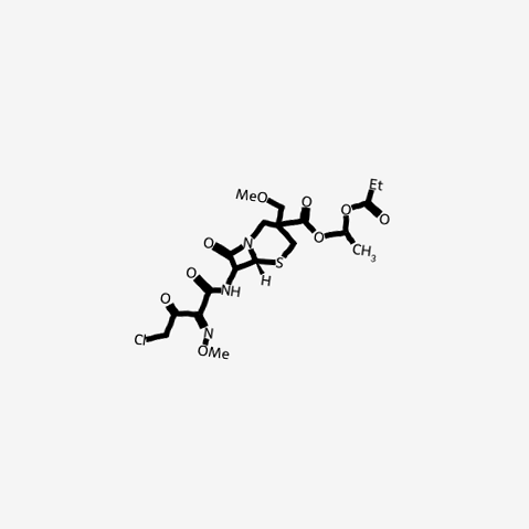 CCC(=O)OC(C)OC(=O)C1(COC)CS[C@@H]2C(NC(=O)C(=NOC)C(=O)CCl)C(=O)N2C1